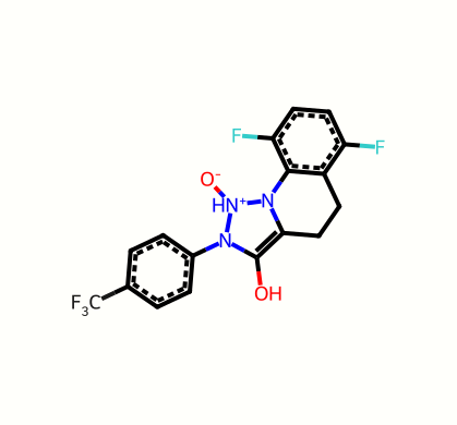 [O-][NH+]1N(c2ccc(C(F)(F)F)cc2)C(O)=C2CCc3c(F)ccc(F)c3N21